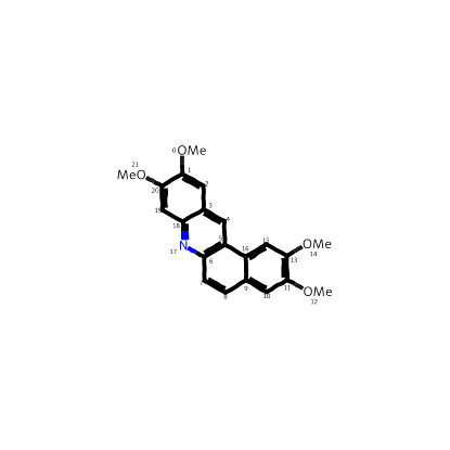 COc1cc2cc3c(ccc4cc(OC)c(OC)cc43)nc2cc1OC